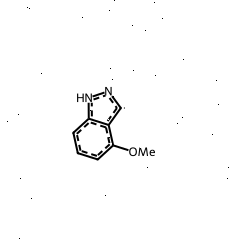 COc1cccc2[nH]n[c]c12